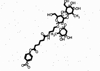 CC1O[C@@H](O[C@H]2C(O[C@H]3CC(CO)[C@H](O)[C@H](O)C3C)[C@@H](O)C(CO)O[C@H]2OCCCNC(=O)CCCCC(=O)Oc2ccc([N+](=O)[O-])cc2)C[C@@H](O)[C@@H]1O